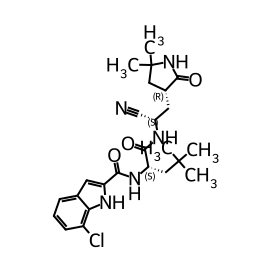 CC(C)(C)C[C@H](NC(=O)c1cc2cccc(Cl)c2[nH]1)C(=O)N[C@H](C#N)C[C@@H]1CC(C)(C)NC1=O